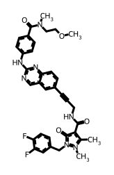 COCCN(C)C(=O)c1ccc(Nc2ncc3cc(C#CCNC(=O)c4c(C)n(C)n(Cc5ccc(F)c(F)c5)c4=O)ccc3n2)cc1